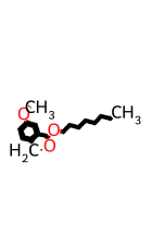 [CH2]c1ccc(OC)cc1C(=O)OCCCCCCCC